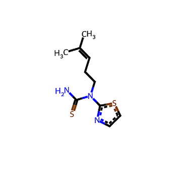 CC(C)=CCCN(C(N)=S)c1nccs1